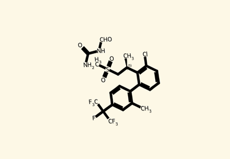 Cc1cc(C(F)(C(F)(F)F)C(F)(F)F)ccc1-c1cccc(Cl)c1[C@H](C)CS(C)(=O)=O.NC(=O)NC=O